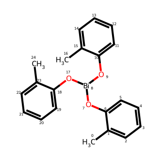 Cc1ccccc1[O][Bi]([O]c1ccccc1C)[O]c1ccccc1C